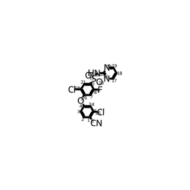 N#Cc1ccc(Oc2cc(F)c(S(=O)(=O)Nc3ncccn3)cc2Cl)cc1Cl